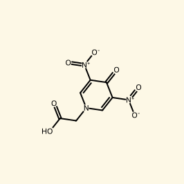 O=C(O)Cn1cc([N+](=O)[O-])c(=O)c([N+](=O)[O-])c1